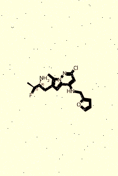 Cc1c(C[C@@H](N)[C@H](C)F)cc2c(NCc3ccco3)cc(Cl)nn12